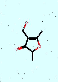 CC1=C(C[O])C(=O)C(C)O1